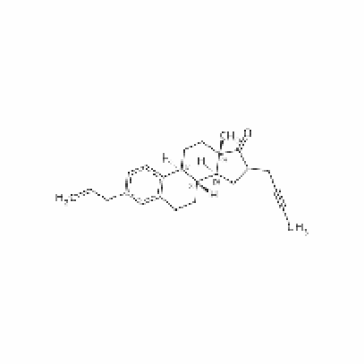 C=CCc1ccc2c(c1)CC[C@@H]1[C@@H]2CC[C@]2(C)C(=O)C(CC#CC)C[C@@H]12